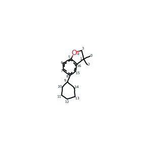 CC1(C)COc2ccc(C3CCCCC3)cc21